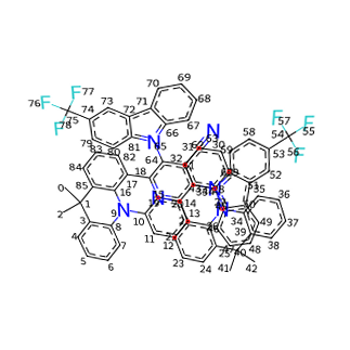 CC1(C)c2ccccc2N(c2ccccc2)c2c(-c3nc(-c4cccc5c4N(c4ccccc4)c4ccccc4C5(C)C)c(-n4c5ccccc5c5cc(C(F)(F)F)ccc54)c(C#N)c3-n3c4ccccc4c4cc(C(F)(F)F)ccc43)cccc21